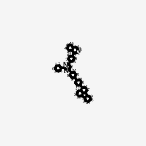 c1ccc(-c2nc(-c3ccc(-c4ccc(-c5ccc6c7c(cccc57)-c5ccccc5-6)cc4)cc3)cc(-c3ccc(-c4cncc5ccccc45)cc3)n2)cc1